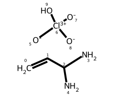 C=CC(N)N.[O-][Cl+3]([O-])([O-])O